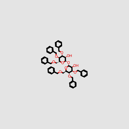 O[C@@H]1[C@H](O[C@H]2O[C@H](COCc3ccccc3)[C@@H](OCc3ccccc3)[C@H](OCc3ccccc3)[C@@H]2O)O[C@H](COCc2ccccc2)[C@@H](OCc2ccccc2)[C@@H]1OCc1ccccc1